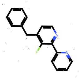 Fc1c(Cc2ccccc2)ccnc1-c1ccccn1